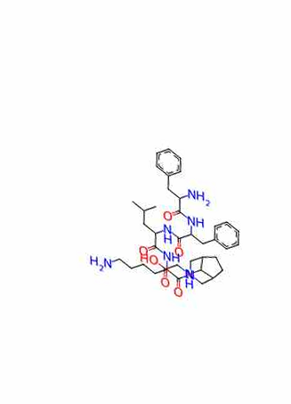 CC(C)CC(NC(=O)C(Cc1ccccc1)NC(=O)C(N)Cc1ccccc1)C(=O)NC(CCCCN)C(=O)N1CC2CCC(C1)C2NCC(=O)O